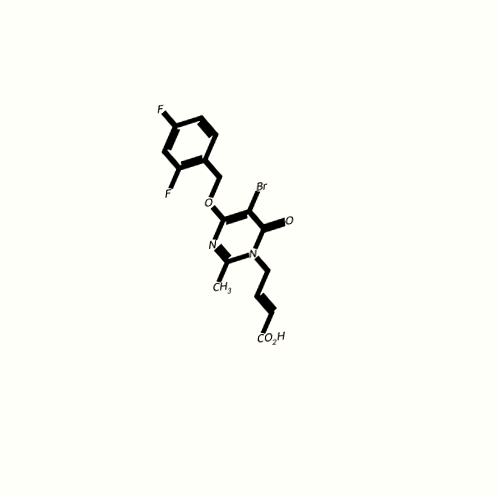 Cc1nc(OCc2ccc(F)cc2F)c(Br)c(=O)n1CC=CC(=O)O